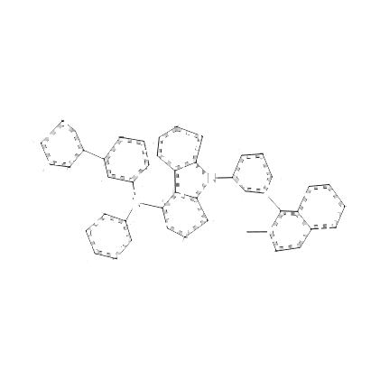 Cc1ccc2ccccc2c1-c1cccc(-n2c3ccccc3c3c(N(c4ccccc4)c4cccc(-c5ccccc5)c4)cccc32)c1